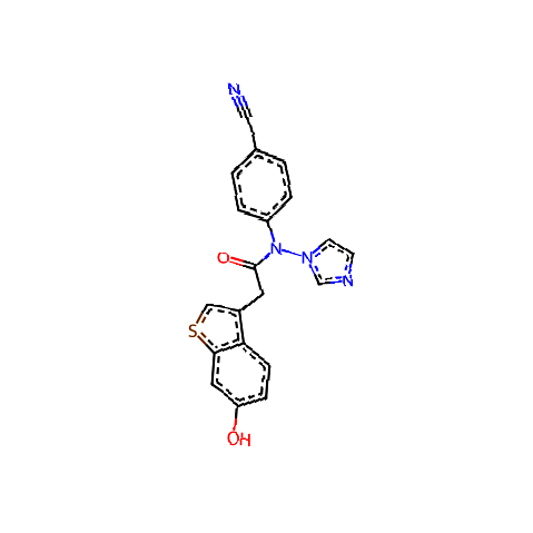 N#Cc1ccc(N(C(=O)Cc2csc3cc(O)ccc23)n2ccnc2)cc1